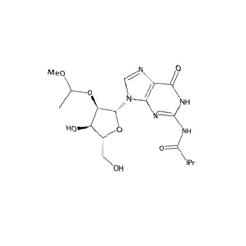 COC(C)O[C@@H]1[C@H](O)[C@@H](CO)O[C@H]1n1cnc2c(=O)[nH]c(NC(=O)C(C)C)nc21